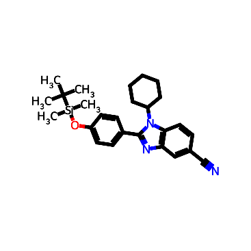 CC(C)(C)[Si](C)(C)Oc1ccc(-c2nc3cc(C#N)ccc3n2C2CCCCC2)cc1